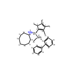 CC1=C(C)C(C)[C]([Zr]([NH]C2CCCCCCC2)[SiH](C)C)=C1C.c1ccc(-c2ccccc2)cc1